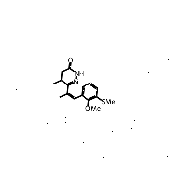 COc1c(C=C(C)C2=NNC(=O)CC2C)cccc1SC